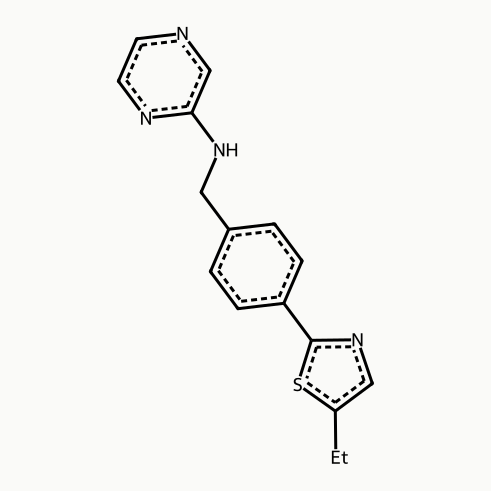 CCc1cnc(-c2ccc(CNc3cnccn3)cc2)s1